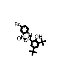 CC(C)(C)c1cc(N=Nc2ccc(Br)cc2[N+](=O)[O-])c(O)c(C(C)(C)C)c1